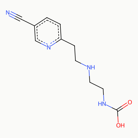 N#Cc1ccc(CCNCCNC(=O)O)nc1